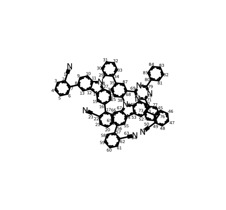 N#Cc1ccccc1-c1ccc2c(c1)c1cc(-c3ccccc3C#N)ccc1n2-c1ccccc1-c1ccc(-n2c3ccc(-c4ccccc4C#N)cc3c3cc(-c4ccccc4C#N)ccc32)c(-c2nc(-c3ccccc3)nc(-c3ccccc3)n2)c1